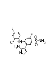 NC1=NCC=C1c1cc(S(N)(=O)=O)c(F)cc1Nc1ccc(I)cc1Cl